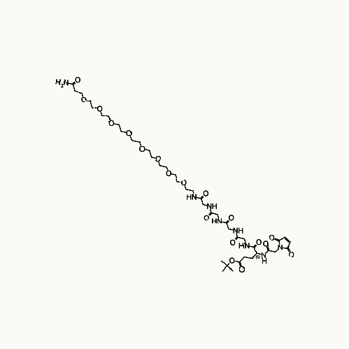 CC(C)(C)OC(=O)CC[C@H](NC(=O)CN1C(=O)C=CC1=O)C(=O)NCC(=O)NCC(=O)NCC(=O)NCC(=O)NCCOCCOCCOCCOCCOCCOCCOCCOCCC(N)=O